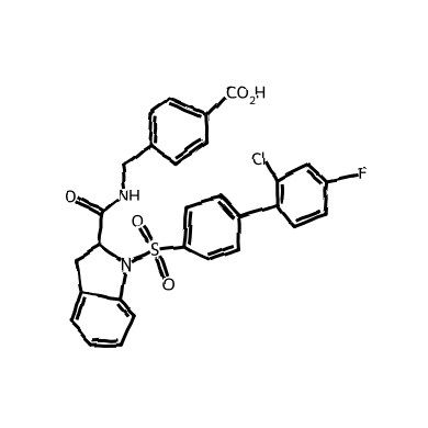 O=C(O)c1ccc(CNC(=O)C2Cc3ccccc3N2S(=O)(=O)c2ccc(-c3ccc(F)cc3Cl)cc2)cc1